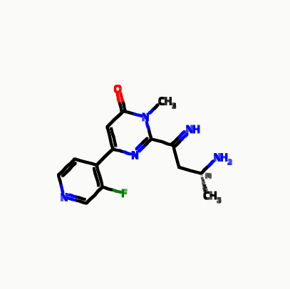 C[C@@H](N)CC(=N)c1nc(-c2ccncc2F)cc(=O)n1C